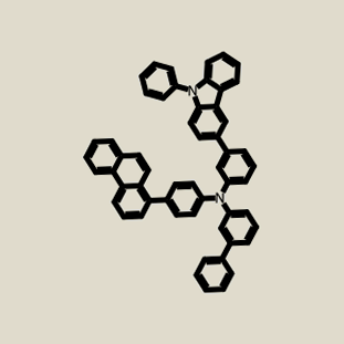 c1ccc(-c2cccc(N(c3ccc(-c4cccc5c4ccc4ccccc45)cc3)c3cccc(-c4ccc5c(c4)c4ccccc4n5-c4ccccc4)c3)c2)cc1